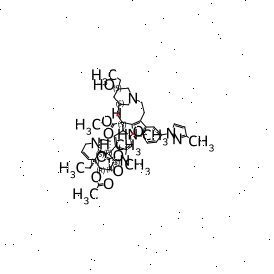 CC[C@]1(O)C[C@H]2CN(CCc3c([nH]c4ccc(-n5ccc(C)n5)cc34)[C@@](C(=O)OC)(C3C=C4C(=CC3OC)N(C)[C@@]35O[C@]3(C(=O)OC)[C@H](OC(C)=O)[C@]3(CC)C=CCN6CC[C@]45[C@@H]63)C2)C1